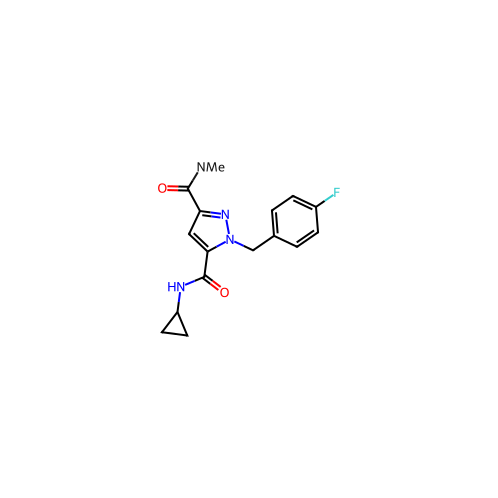 CNC(=O)c1cc(C(=O)NC2CC2)n(Cc2ccc(F)cc2)n1